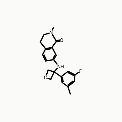 Cc1cc(F)cc(C2(Nc3ccc4c(c3)C(=O)N(C)CC4)COC2)c1